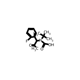 CC(=O)C(c1ccccc1F)N(C(=O)O)C(C)(C)C